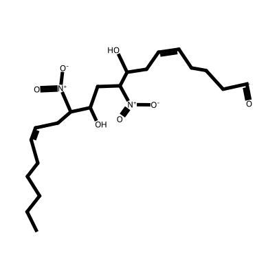 CCCCC/C=C\CC(C(O)CC(C(O)C/C=C\CCC[C]=O)[N+](=O)[O-])[N+](=O)[O-]